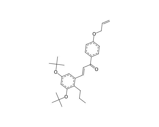 C=CCOc1ccc(C(=O)C=Cc2cc(OC(C)(C)C)cc(OC(C)(C)C)c2CCC)cc1